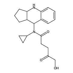 O=C(CO)CCC(=O)N(C1CC1)C1c2ccccc2NC2CCCC21